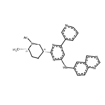 CC(=O)N1C[C@H](c2nc(Nc3ccc4ncncc4c3)cc(-c3cccnc3)n2)CC[C@@H]1C